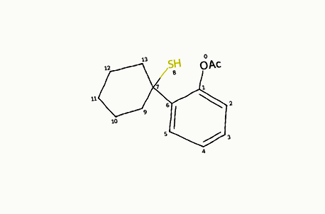 CC(=O)Oc1ccccc1C1(S)CCCCC1